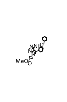 COC(=O)[C@H]1C[C@@H](n2cc(-c3cccc(OCc4ccccc4)c3)c3c(N)ncnc32)C1